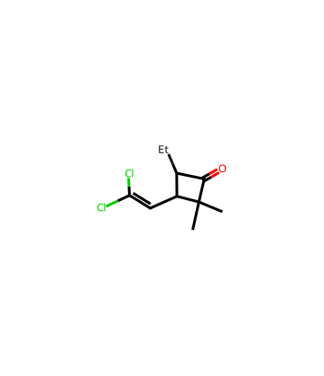 CCC1C(=O)C(C)(C)C1C=C(Cl)Cl